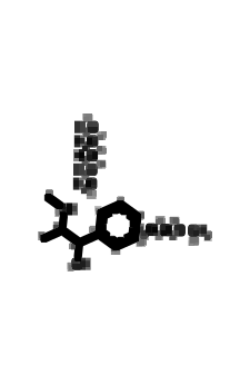 CNC(C)C(O)c1ccccc1.O.O.O.O.O.O.O.O.O